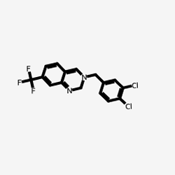 FC(F)(F)c1ccc2c(c1)=NCN(Cc1ccc(Cl)c(Cl)c1)C=2